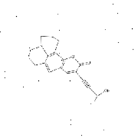 CC(O)C#Cc1cc2cc3c4c(c2oc1=O)CCCN4CCC3